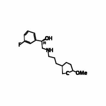 COC1CCC(CCCNC[C@H](O)c2cccc(F)c2)CC1